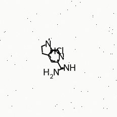 CN1CCc2cc(C(=N)N)ncc21.Cl